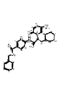 O=C(OCc1ccccc1)c1ccc(NC(=O)[C@H](CC2CCCCC2)n2cc(C(F)(F)F)ncc2=O)nc1